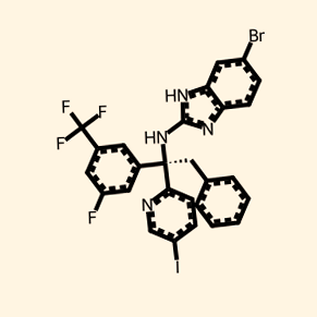 Fc1cc(C(F)(F)F)cc([C@@](Cc2ccccc2)(Nc2nc3ccc(Br)cc3[nH]2)c2ccc(I)cn2)c1